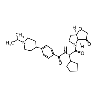 CC(C)N1CCC(c2ccc(C(=O)N[C@H](C(=O)N3CC[C@H]4OCC(=O)[C@H]43)C3CCCC3)cc2)CC1